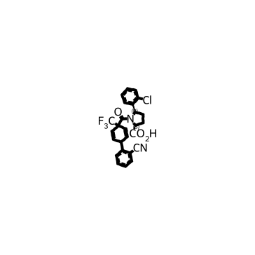 N#Cc1ccccc1C1C=CC(C(=O)N2[C@@H](c3ccccc3Cl)CC[C@H]2C(=O)O)(C(F)(F)F)C=C1